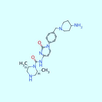 C[C@@H]1CNC[C@H](C)N1C(=O)Nc1ccn(-c2ccc(CN3CCC(N)CC3)cc2)c(=O)n1